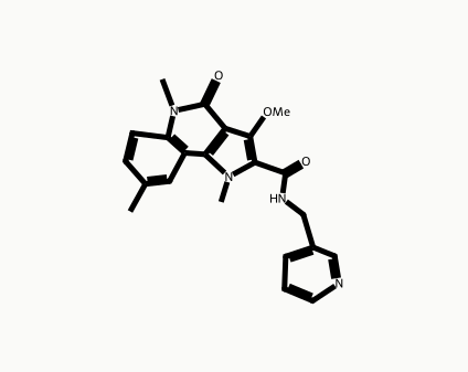 COc1c(C(=O)NCc2cccnc2)n(C)c2c1c(=O)n(C)c1ccc(C)cc21